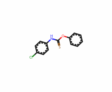 S=C(Nc1ccc(Cl)cc1)Oc1ccccc1